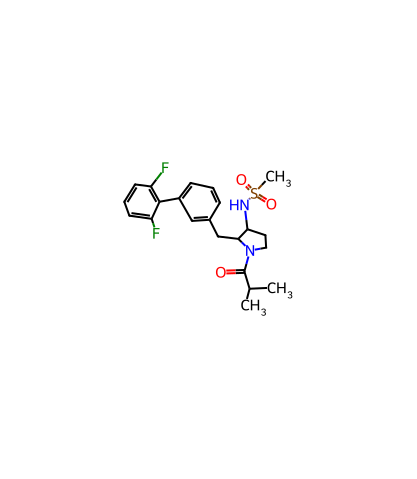 CC(C)C(=O)N1CCC(NS(C)(=O)=O)C1Cc1cccc(-c2c(F)cccc2F)c1